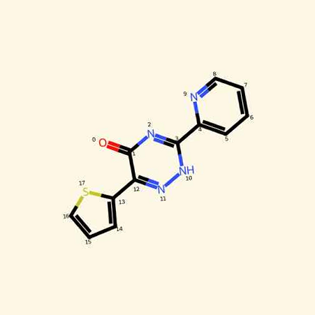 O=c1nc(-c2ccccn2)[nH]nc1-c1cccs1